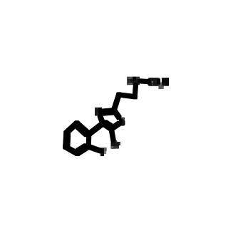 O=C(O)NCCc1nc(-c2ccccc2F)c(Br)s1